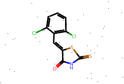 O=C1NC(=S)S/C1=C\c1c(Cl)cccc1Cl